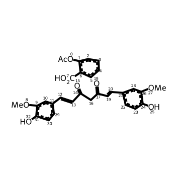 CC(=O)Oc1ccccc1C(=O)O.COc1cc(C=CC(=O)CC(=O)C=Cc2ccc(O)c(OC)c2)ccc1O